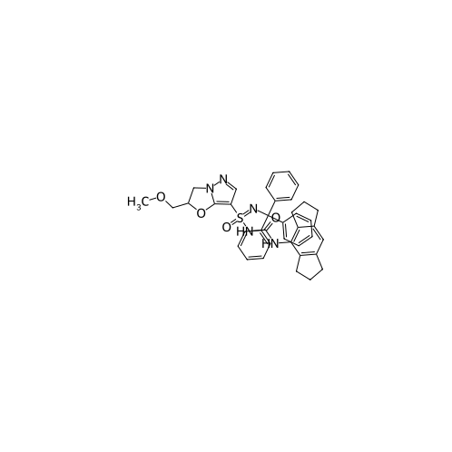 COCC1Cn2ncc(S(=O)(=NC(c3ccccc3)(c3ccccc3)c3ccccc3)NC(=O)Nc3c4c(cc5c3CCC5)CCC4)c2O1